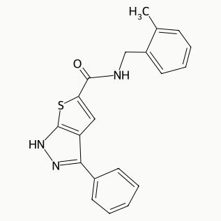 Cc1ccccc1CNC(=O)c1cc2c(-c3ccccc3)n[nH]c2s1